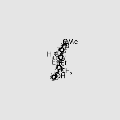 CCC(CC)(c1ccc(/C=C/C2(O)CCCC2)c(C)c1)c1ccc(-c2ccc(CC(=O)OC)cc2)c(C)c1